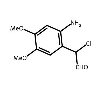 COc1cc(N)c(C(Cl)C=O)cc1OC